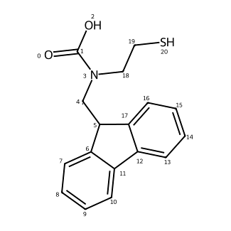 O=C(O)N([CH]C1c2ccccc2-c2ccccc21)CCS